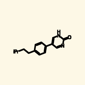 CC(C)CCc1ccc(-c2cnc(=O)[nH]c2)cc1